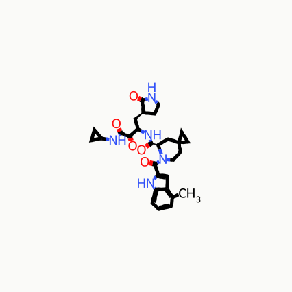 Cc1cccc2[nH]c(C(=O)N3CCC4(CC4)C[C@H]3C(=O)NC(C[C@@H]3CCNC3=O)C(=O)C(=O)NC3CC3)cc12